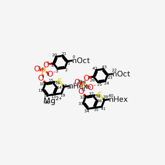 CCCCCCCCc1ccc(OP(=O)([O-])Oc2ccc3cc2SC(CCCCCC)C3)cc1.CCCCCCCCc1ccc(OP(=O)([O-])Oc2ccc3cc2SC(CCCCCC)C3)cc1.[Mg+2]